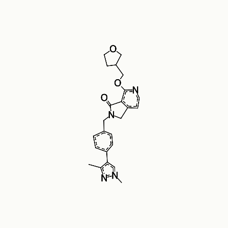 Cc1nn(C)cc1-c1ccc(CN2Cc3ccnc(OCC4CCOC4)c3C2=O)cc1